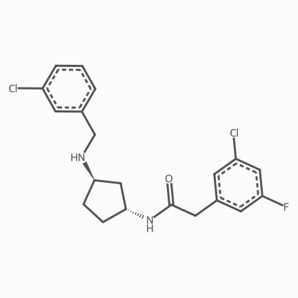 O=C(Cc1cc(F)cc(Cl)c1)N[C@@H]1CC[C@@H](NCc2cccc(Cl)c2)C1